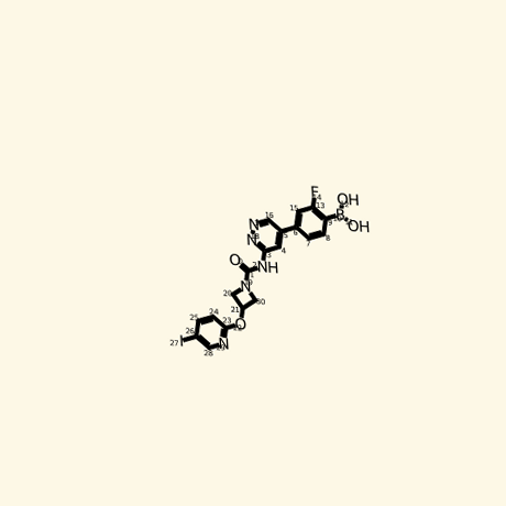 O=C(Nc1cc(-c2ccc(B(O)O)c(F)c2)cnn1)N1CC(Oc2ccc(I)cn2)C1